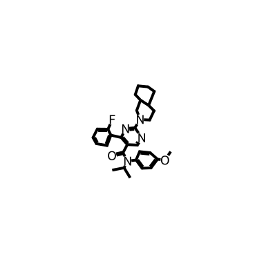 COc1ccc(N(C(=O)c2cnc(N3CCC4CCCCC4C3)nc2-c2ccccc2F)C(C)C)cc1